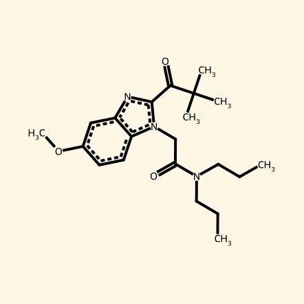 CCCN(CCC)C(=O)Cn1c(C(=O)C(C)(C)C)nc2cc(OC)ccc21